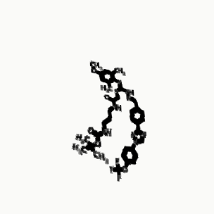 COc1cc(C)c(/N=C(/N/N=C/c2ccc(-c3ncn(-c4ccc(OC(F)(F)F)cc4)n3)cc2)SCC(=O)NCCCNC(=O)OC(C)(C)C)c(C)c1